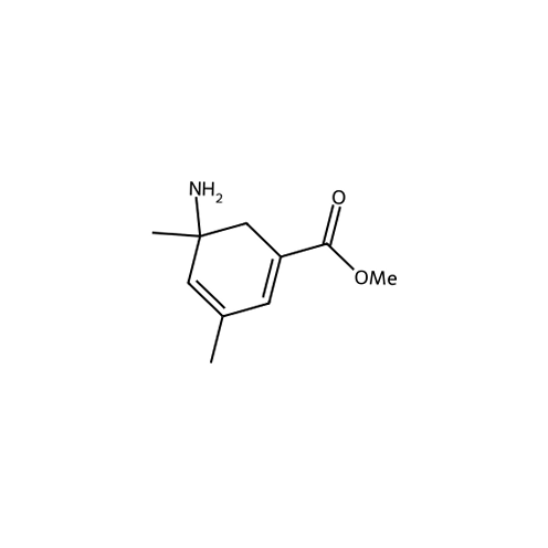 COC(=O)C1=CC(C)=CC(C)(N)C1